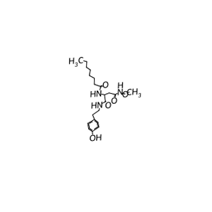 CCCCCCCC(=O)NC(CC(=O)NOC)C(=O)NCCc1ccc(O)cc1